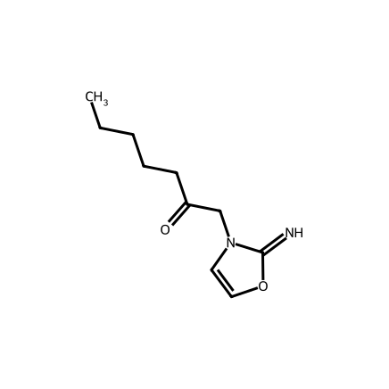 CCCCCC(=O)Cn1ccoc1=N